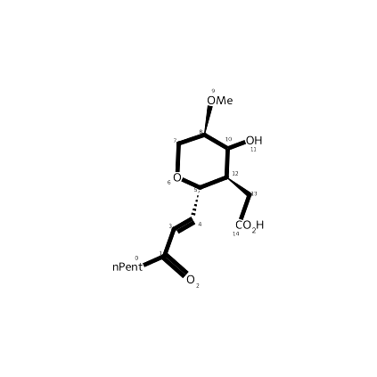 CCCCCC(=O)C=C[C@@H]1OC[C@@H](OC)C(O)[C@H]1CC(=O)O